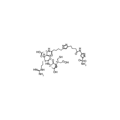 N=C(N)NCCC[C@H](NC(=O)[C@H](CC(=O)O)NC(=O)CCCCn1cc(CCCC(=O)Nc2nnc(S(N)(=O)=O)s2)nn1)C(=O)N[C@@H](CC(=O)O)C(=O)N[C@@H](CS)COO